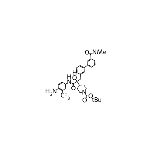 CNC(=O)c1cccc(-c2cccc(CC(O)(C(=O)Nc3ccc(N)c(C(F)(F)F)c3)C3CCN(C(=O)OC(C)(C)C)CC3)c2)c1